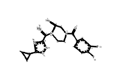 N=C1CN(C(=O)c2ccc(F)c(F)c2)CCN1C(=N)c1noc(C2CC2)n1